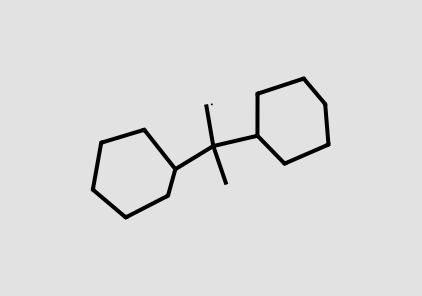 [CH2]C(C)(C1CCCCC1)C1CCCCC1